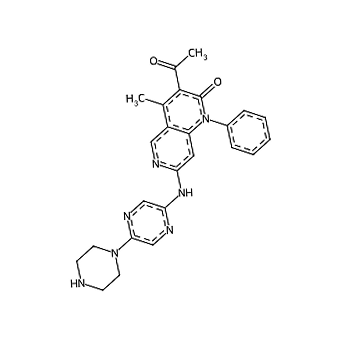 CC(=O)c1c(C)c2cnc(Nc3cnc(N4CCNCC4)cn3)cc2n(-c2ccccc2)c1=O